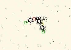 CCOC(=O)C(C)(Oc1ccc(Cl)cc1)c1ccc(Sc2ccc(Cl)cc2)cc1